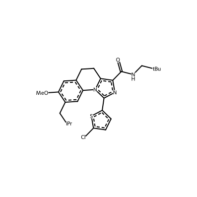 COc1cc2c(cc1CC(C)C)-n1c(-c3ccc(Cl)s3)nc(C(=O)NCC(C)(C)C)c1CC2